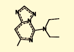 CCN(CC)c1nc(C)cc2ncnn12